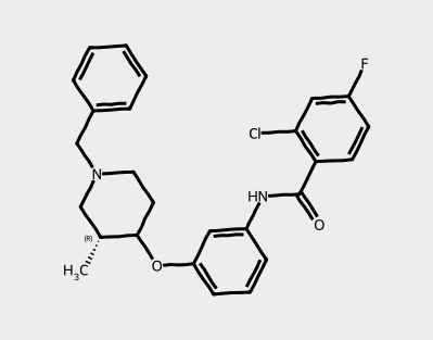 C[C@@H]1CN(Cc2ccccc2)CCC1Oc1cccc(NC(=O)c2ccc(F)cc2Cl)c1